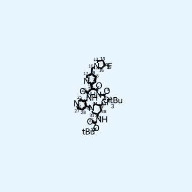 CC(C)(C)OC(=O)Nc1oc2cc(CN3CC[C@H](F)C3)cnc2c1C(=O)Nc1cnccc1N1CC(NC(=O)OC(C)(C)C)C[C@@H](C(F)(F)F)C1